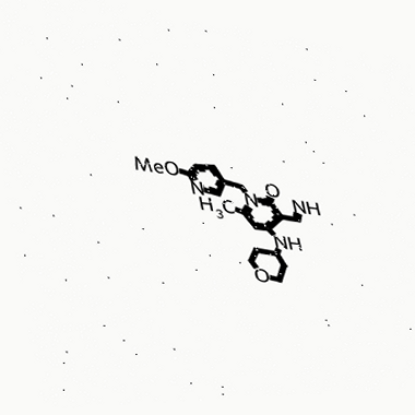 COc1ccc(Cn2c(C)cc(NC3CCOCC3)c(C=N)c2=O)cn1